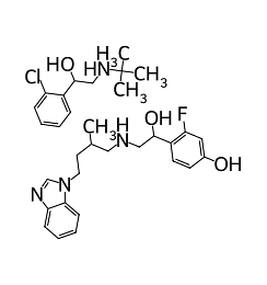 CC(C)(C)NCC(O)c1ccccc1Cl.CC(CCn1cnc2ccccc21)CNCC(O)c1ccc(O)cc1F